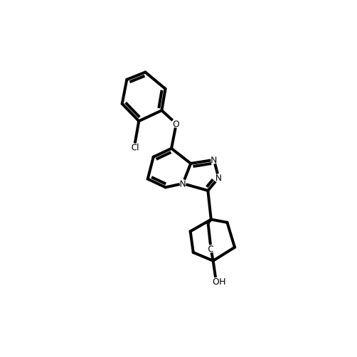 OC12CCC(c3nnc4c(Oc5ccccc5Cl)cccn34)(CC1)CC2